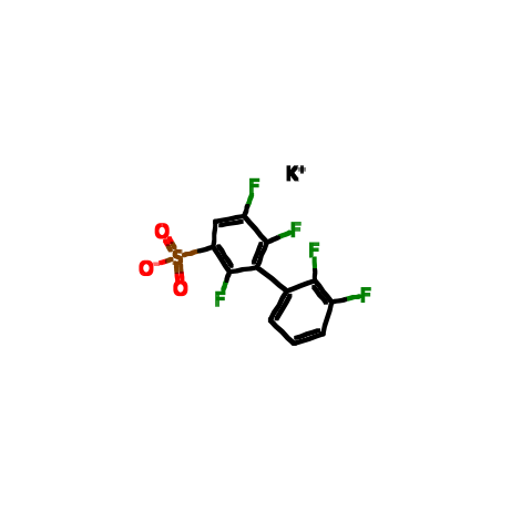 O=S(=O)([O-])c1cc(F)c(F)c(-c2cccc(F)c2F)c1F.[K+]